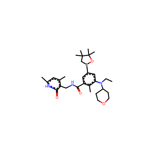 CCN(c1cc(B2CC(C)(C)C(C)(C)O2)cc(C(=O)NCc2c(C)cc(C)[nH]c2=O)c1C)C1CCOCC1